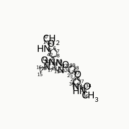 C=CC(=O)Nc1cccc(N2C(=O)N(C3CC3)Cc3cnc(Oc4ccc(Oc5ccnc(C(=O)NC)c5)cc4)nc32)c1